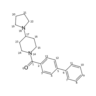 O=C(c1ccc(-c2ccccc2)cc1)N1CCC(N2CCCC2)CC1